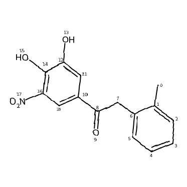 Cc1ccccc1CC(=O)c1cc(O)c(O)c([N+](=O)[O-])c1